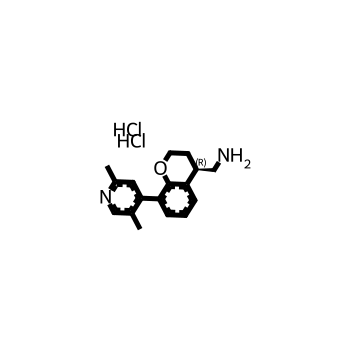 Cc1cc(-c2cccc3c2OCC[C@H]3CN)c(C)cn1.Cl.Cl